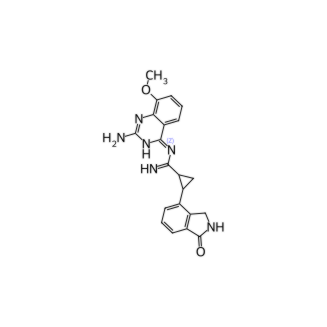 COc1cccc2/c(=N/C(=N)C3CC3c3cccc4c3CNC4=O)[nH]c(N)nc12